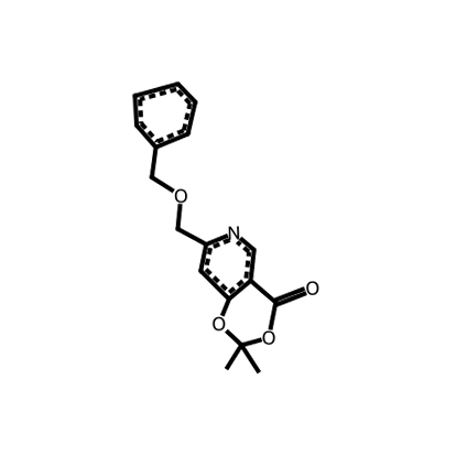 CC1(C)OC(=O)c2cnc(COCc3ccccc3)cc2O1